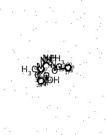 Cc1nc(-c2nnn(C)c2CNC(=O)OCc2ccccc2)ccc1O[C@@H]1CCC[C@@](F)(C(=O)O)C1